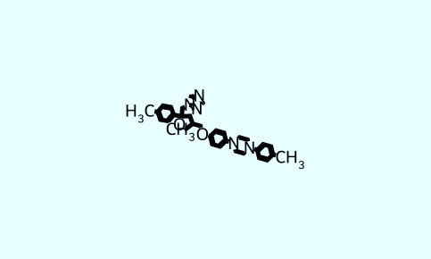 Cc1ccc(N2CCN(c3ccc(OCC4COC(Cn5cncn5)(c5ccc(C)cc5C)C4)cc3)CC2)cc1